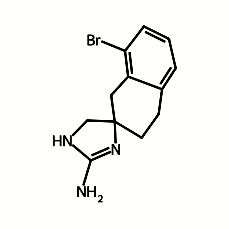 NC1=NC2(CCc3cccc(Br)c3C2)CN1